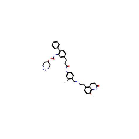 COc1cc(NC(=O)CCc2ccc(-c3ccccc3)c(NC(=O)OC3CC[N+](C)(C)CC3)c2)ccc1CNC[C@H](O)c1ccc(O)c2[nH]c(=O)ccc12